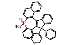 CC(C)(C)P1(=O)c2ccccc2C2=C(c3ccccc3C2(c2ccccc2)c2ccccc2)c2c1ccc1ccccc21